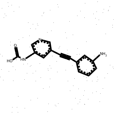 Nc1cccc(C#Cc2cncc(NC(=O)O)c2)c1